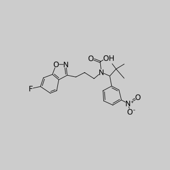 CC(C)(C)C(c1cccc([N+](=O)[O-])c1)N(CCCc1noc2cc(F)ccc12)C(=O)O